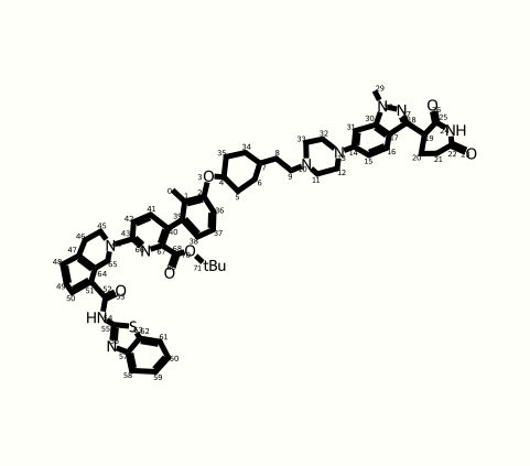 Cc1c(OC2CCC(CCN3CCN(c4ccc5c(C6CCC(=O)NC6=O)nn(C)c5c4)CC3)CC2)cccc1-c1ccc(N2CCc3cccc(C(=O)Nc4nc5ccccc5s4)c3C2)nc1C(=O)OC(C)(C)C